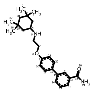 CC1(C)CC(NCCOc2ccc(-c3cccc(C(N)=O)c3)cc2)CC(C)(C)C1